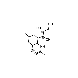 CC(=O)NC1C(O)CC(C)OC1[C@H](O)[C@H](O)CO